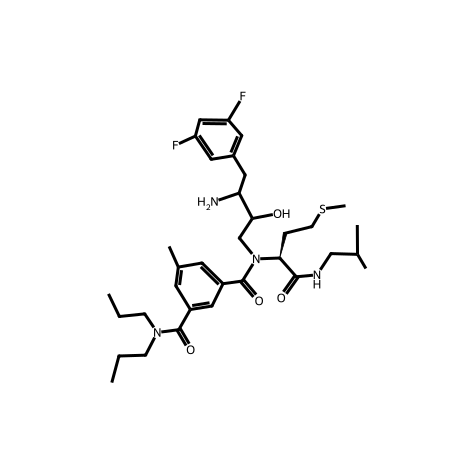 CCCN(CCC)C(=O)c1cc(C)cc(C(=O)N(CC(O)C(N)Cc2cc(F)cc(F)c2)[C@@H](CCSC)C(=O)NCC(C)C)c1